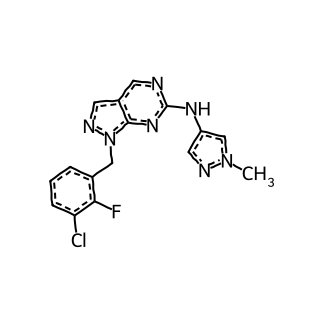 Cn1cc(Nc2ncc3cnn(Cc4cccc(Cl)c4F)c3n2)cn1